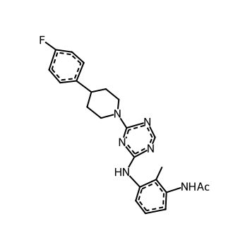 CC(=O)Nc1cccc(Nc2ncnc(N3CCC(c4ccc(F)cc4)CC3)n2)c1C